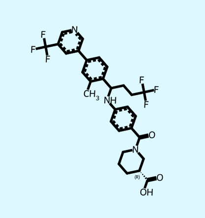 Cc1cc(-c2cncc(C(F)(F)F)c2)ccc1C(CCC(F)(F)F)Nc1ccc(C(=O)N2CCC[C@@H](C(=O)O)C2)cc1